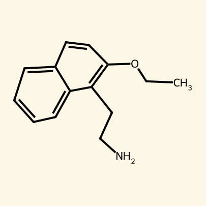 CCOc1ccc2ccccc2c1CCN